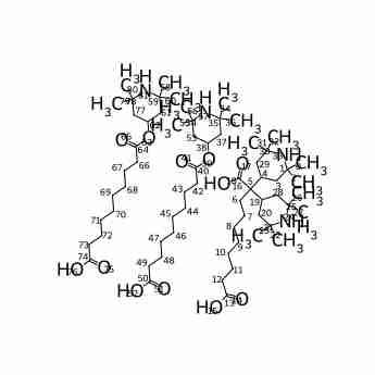 CC1(C)CC(C(CCCCCCCC(=O)O)(C(=O)O)C2CC(C)(C)NC(C)(C)C2)CC(C)(C)N1.CC1(C)CC(OC(=O)CCCCCCCCC(=O)O)CC(C)(C)N1.CC1(C)CC(OC(=O)CCCCCCCCC(=O)O)CC(C)(C)N1